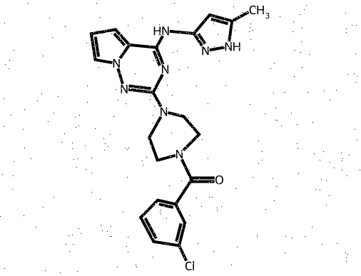 Cc1cc(Nc2nc(N3CCN(C(=O)c4cccc(Cl)c4)CC3)nn3cccc23)n[nH]1